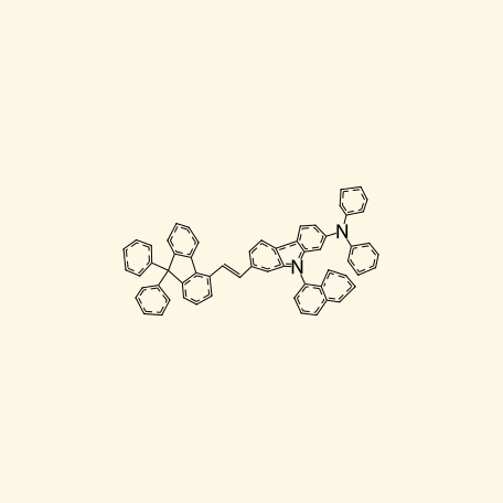 C(=C\c1cccc2c1-c1ccccc1C2(c1ccccc1)c1ccccc1)/c1ccc2c3ccc(N(c4ccccc4)c4ccccc4)cc3n(-c3cccc4ccccc34)c2c1